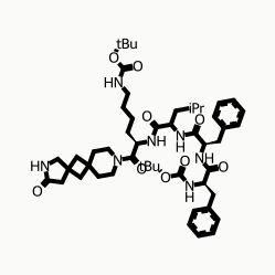 CC(C)CC(NC(=O)[C@@H](Cc1ccccc1)NC(=O)[C@@H](Cc1ccccc1)NC(=O)OC(C)(C)C)C(=O)N[C@H](CCCCNC(=O)OC(C)(C)C)C(=O)N1CCC2(CC1)CC1(CNC(=O)C1)C2